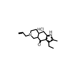 C=CCN1CCC2Cc3[nH]c(C)c(CC)c3C(=O)C2C1.Cl